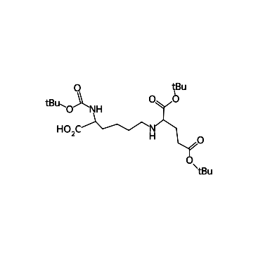 CC(C)(C)OC(=O)CCC(NCCCCC(NC(=O)OC(C)(C)C)C(=O)O)C(=O)OC(C)(C)C